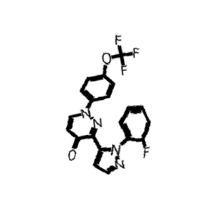 O=c1ccn(-c2ccc(OC(F)(F)F)cc2)nc1-c1ccnn1-c1ccccc1F